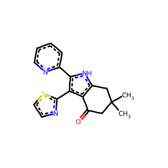 CC1(C)CC(=O)c2c([nH]c(-c3ccccn3)c2-c2nccs2)C1